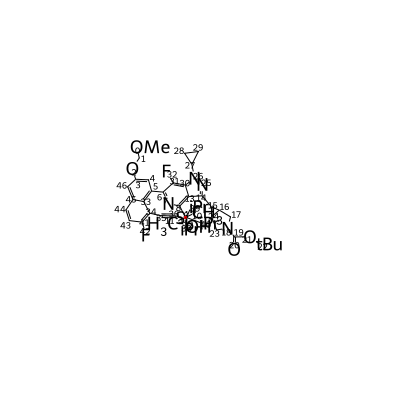 COCOc1cc(-c2nc(C(C)(C)O)c3c(C4C5CN(C(=O)OC(C)(C)C)CC54)nn(C4CC4)c3c2F)c2c(C#C[Si](C(C)C)(C(C)C)C(C)C)c(F)ccc2c1